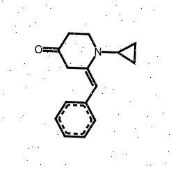 O=C1CCN(C2CC2)C(=Cc2ccccc2)C1